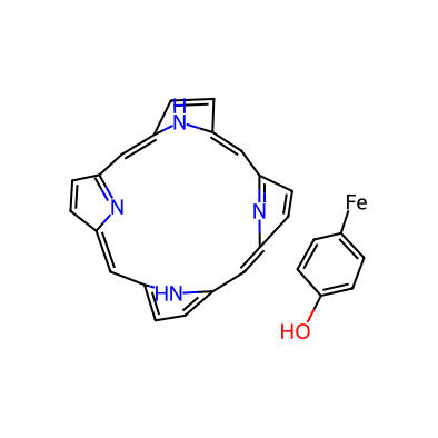 C1=Cc2cc3ccc(cc4nc(cc5ccc(cc1n2)[nH]5)C=C4)[nH]3.Oc1cc[c]([Fe])cc1